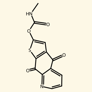 CNC(=O)Oc1cc2c(s1)C(=O)c1ncccc1C2=O